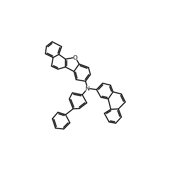 c1ccc(-c2ccc(N(c3ccc4ccc5ccccc5c4c3)c3ccc4oc5c6ccccc6ccc5c4c3)cc2)cc1